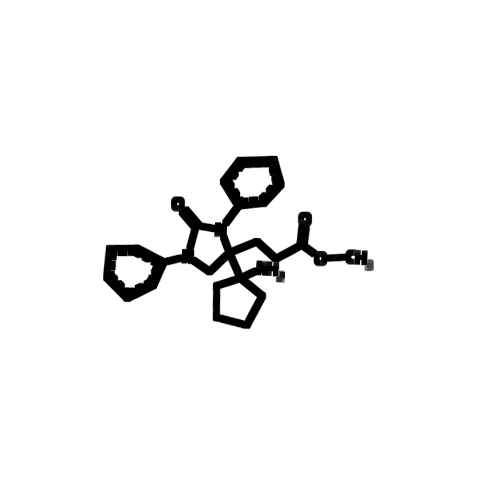 COC(=O)CCC1(C2(N)CCCC2)CN(c2ccccc2)C(=O)N1c1ccccc1